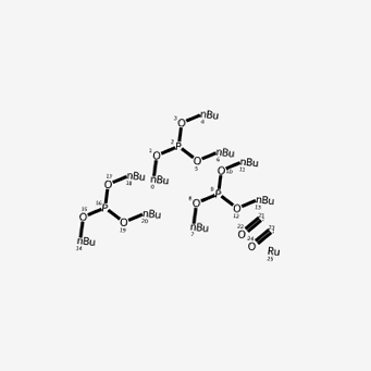 CCCCOP(OCCCC)OCCCC.CCCCOP(OCCCC)OCCCC.CCCCOP(OCCCC)OCCCC.[C]=O.[C]=O.[Ru]